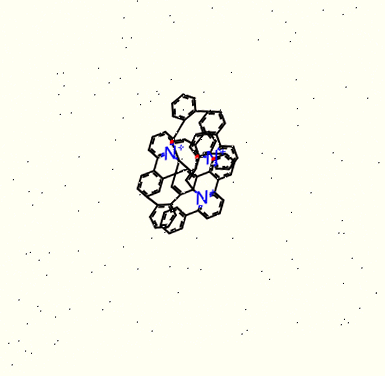 C1=C2c3ccccc3-c3ccc4c(c3)C13C1=C5c6cc7ccc6-c6cccc(-c8ccccc8)[n+]6C25/C=C(/c2ccccc2-7)C2C5/C=C(/c6ccccc6-c6ccc(c5c6)-c5cccc[n+]52)C13[n+]1ccccc1-4